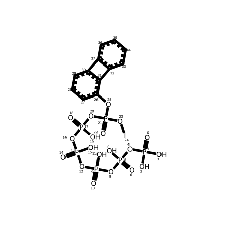 O=P(O)(O)OP(=O)(O)OP(=O)(O)OP(=O)(O)OP(=O)(O)OP(=O)(OI)Oc1cccc2c1-c1ccccc1-2